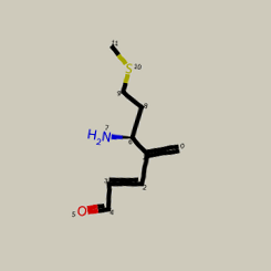 C=C(/C=C/C=O)[C@@H](N)CCSC